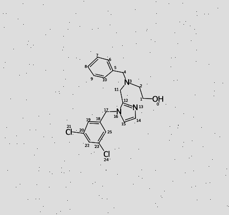 OCCN(Cc1ccccc1)Cc1nccn1Cc1cc(Cl)cc(Cl)c1